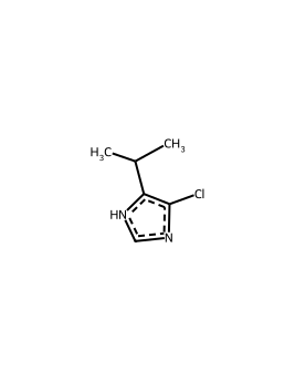 CC(C)c1[nH]cnc1Cl